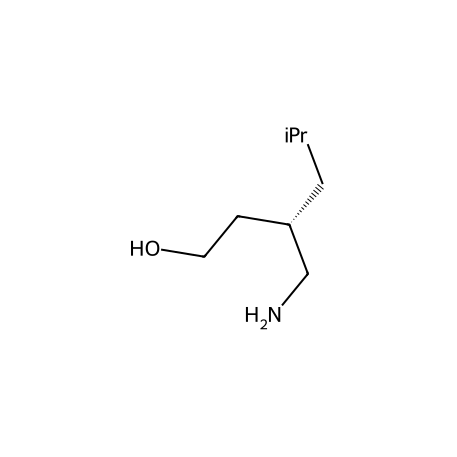 CC(C)C[C@H](CN)CCO